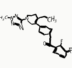 CCC1=C(c2ccc(CC(=O)c3cccc(F)c3F)cc2)CN(c2nnn(C)n2)CC1